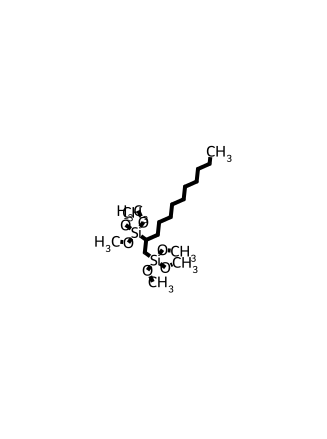 CCCCCCCCCCC(C[Si](OC)(OC)OC)[Si](OC)(OC)OC